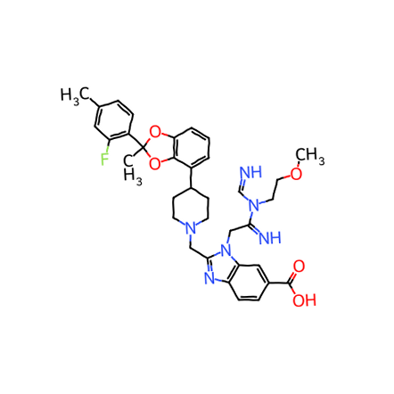 COCCN(C=N)C(=N)Cn1c(CN2CCC(c3cccc4c3OC(C)(c3ccc(C)cc3F)O4)CC2)nc2ccc(C(=O)O)cc21